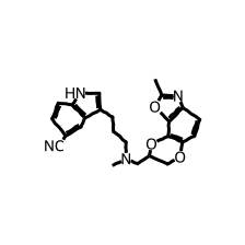 Cc1nc2ccc3c(c2o1)OC(CN(C)CCCc1c[nH]c2ccc(C#N)cc12)CO3